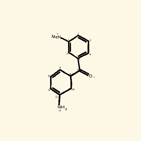 CNc1cccc(C(=O)C2C=CC=C(N)C2)c1